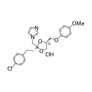 COc1ccc(OC[C@H]2CO[C@@](CCc3ccc(Cl)cc3)(Cn3ccnc3)O2)cc1.Cl